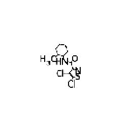 CC1CCCCC1NC(=O)c1nsc(Cl)c1Cl